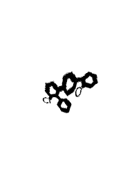 Clc1cccc(-c2ccc3c(c2)oc2ccccc23)c1-c1ccccc1